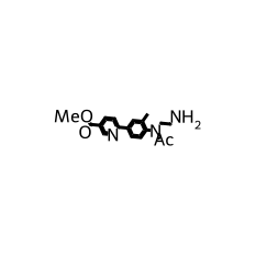 COC(=O)c1ccc(-c2ccc(N(CCN)C(C)=O)c(C)c2)nc1